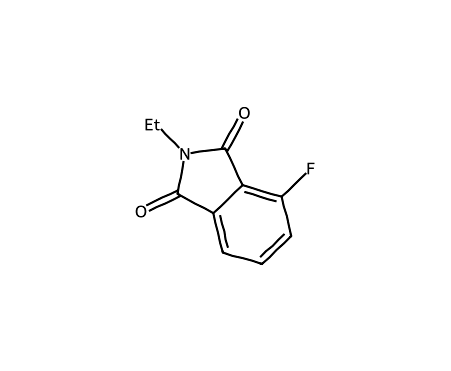 [CH2]CN1C(=O)c2cccc(F)c2C1=O